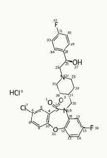 Cl.O=S1(=O)c2cc(Cl)ccc2Oc2ccc(F)cc2N1CC1CCN(C[C@H](O)c2ccc(F)cc2)CC1